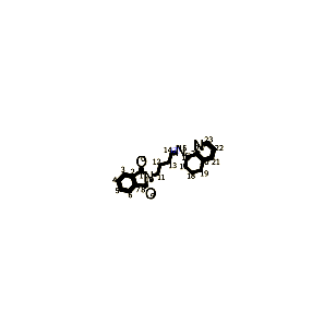 O=C1c2ccccc2C(=O)N1CCC/C=N\[C@H]1CCCc2cccnc21